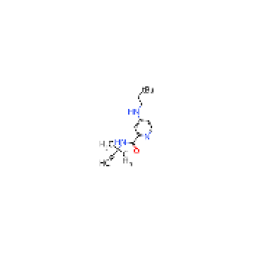 C#CC(C)(C)NC(=O)c1cc(NCCC(C)(C)C)ccn1